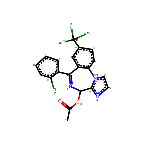 CC(=O)OC1N=C(c2ccccc2Cl)c2cc(C(F)(F)F)ccc2-n2ccnc21